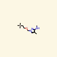 CNc1nn(COCC[Si](C)(C)C)cc1C